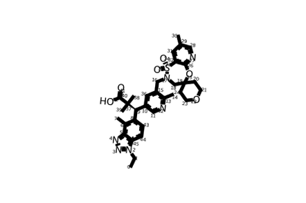 CCn1nnc2c(C)c([C@H](c3cnc(C)c(CN4CC5(CCOCC5)Oc5ncc(C)cc5S4(=O)=O)c3)C(C)(C)C(=O)O)ccc21